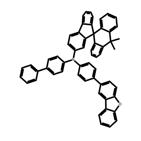 CC1(C)c2ccccc2C2(c3ccccc3-c3ccc(N(c4ccc(-c5ccccc5)cc4)c4ccc(-c5ccc6oc7ccccc7c6c5)cc4)cc32)c2ccccc21